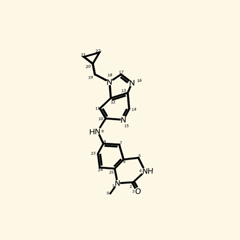 CN1C(=O)NCc2cc(Nc3cc4c(cn3)ncn4CC3CC3)ccc21